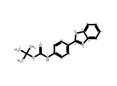 CC(C)(C)OC(=O)Nc1ccc(-c2nc3ccccc3s2)cc1